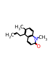 C=CCc1c(C)ccc2c1ccc(=O)n2C